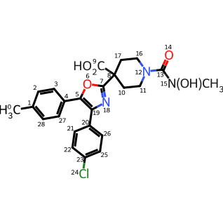 Cc1ccc(-c2oc(C3(C(=O)O)CCN(C(=O)N(C)O)CC3)nc2-c2ccc(Cl)cc2)cc1